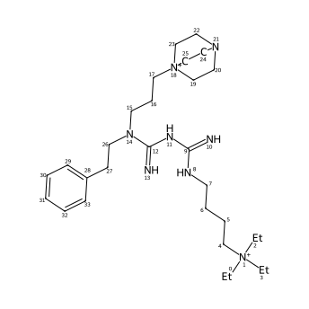 CC[N+](CC)(CC)CCCCNC(=N)NC(=N)N(CCC[N+]12CCN(CC1)CC2)CCc1ccccc1